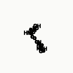 COC(=O)N[C@H](C(=O)N1CCCC1c1nc2cc(-c3ccc4cc(-c5c[nH]c([C@@H]6CCCN6C(=O)[C@H](C(C)C)N(C)C(=O)O)n5)ccc4c3)ccc2[nH]1)C(C)C